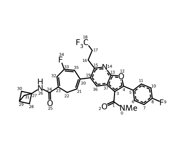 CNC(=O)c1c(-c2ccc(F)cc2)oc2nc(CCC(F)(F)F)c(C3=CCC(C(=O)NC45CC(C4)C5)=CC(F)=C3)cc12